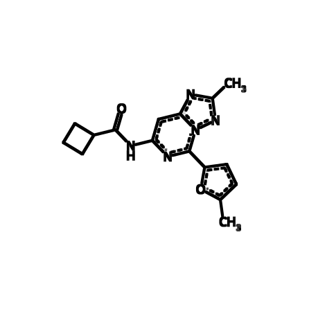 Cc1nc2cc(NC(=O)C3CCC3)nc(-c3ccc(C)o3)n2n1